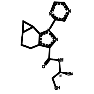 CC(C)(C)[C@@H](CO)NC(=O)c1nn(-c2cnccn2)c2c1CCC1CC21